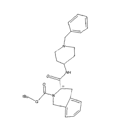 CC(C)(C)OC(=O)N1Cc2ccccc2C[C@H]1C(=O)NC1CCN(Cc2ccccc2)CC1